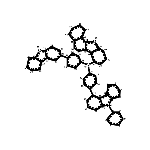 c1ccc(-n2c3ccccc3c3c(-c4ccc(N(c5ccc(-c6ccc7oc8ccccc8c7c6)cc5)c5cccc6oc7c8ccccc8ccc7c56)cc4)cccc32)cc1